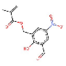 C=C(C)C(=O)OCc1cc([N+](=O)[O-])cc(C=O)c1O